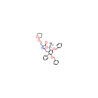 CCc1c(OCc2ccccc2)cc(OCc2ccccc2)c(-c2ccccc2)c1Cc1nn(CCOC2CCCCO2)c(=O)o1